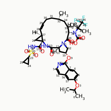 CC(C)Oc1ccc2c(O[C@@H]3C[C@H]4C(=O)N[C@]5(C(=O)NS(=O)(=O)C6CC6)C[C@H]5C=CCC[C@H](C)C[C@@H](C)[C@H](N(C(=O)O)C(C)(C)C(F)(F)F)C(=O)N4C3)nccc2c1